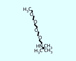 CCOCCOCCOCCOCCNC(C)(C)C